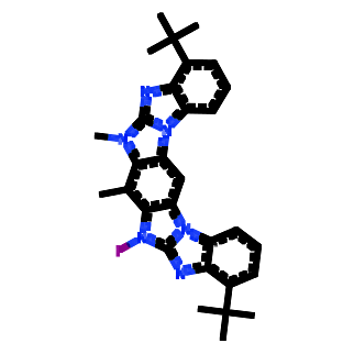 Cc1c2c(cc3c1n(I)c1nc4c(C(C)(C)C)cccc4n31)n1c3cccc(C(C)(C)C)c3nc1n2C